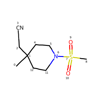 CC1(CC#N)CCN(S(C)(=O)=O)CC1